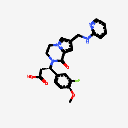 COc1ccc([C@H](CC(=O)O)N2CCn3cc(CNc4ccccn4)cc3C2=O)cc1F